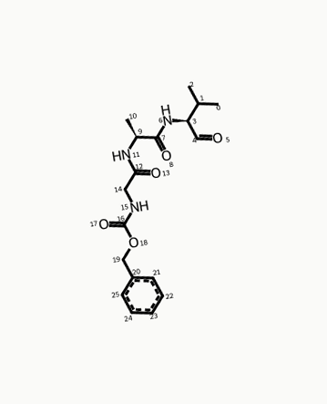 CC(C)[C@@H](C=O)NC(=O)[C@H](C)NC(=O)CNC(=O)OCc1ccccc1